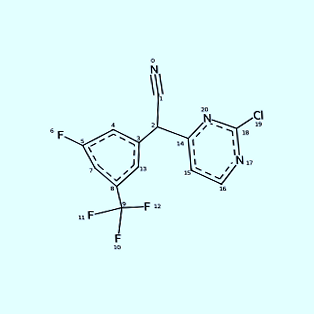 N#CC(c1cc(F)cc(C(F)(F)F)c1)c1ccnc(Cl)n1